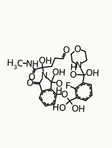 CNC(=O)C(O)(CCC=O)N1C(=O)c2cccc(OC(O)(O)c3cccc(C(O)(O)N4CCOCC4)c3F)c2C1(O)O